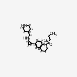 CCCS(=O)(=O)N1CCCc2cc([C@@H]3C[C@H]3NCC3CCNCC3)ccc21